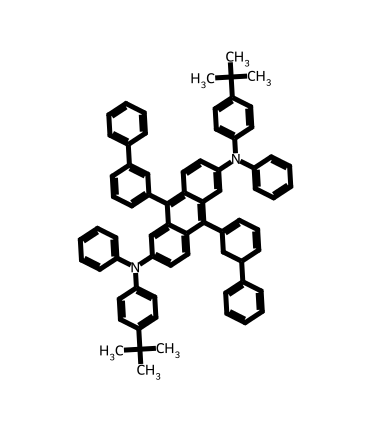 CC(C)(C)c1ccc(N(c2ccccc2)c2ccc3c(-c4cccc(-c5ccccc5)c4)c4cc(N(c5ccccc5)c5ccc(C(C)(C)C)cc5)ccc4c(C4=CC=CC(c5ccccc5)C4)c3c2)cc1